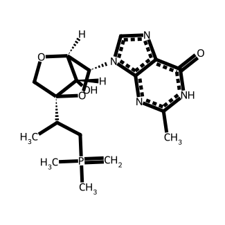 C=P(C)(C)CC(C)[C@@]12CO[C@@H]([C@H](n3cnc4c(=O)[nH]c(C)nc43)O1)[C@@H]2O